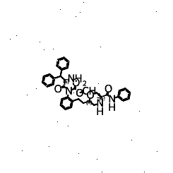 COC(=O)N(C(=O)[C@@H](N)C(c1ccccc1)c1ccccc1)c1ccccc1CC[C@@H]1CN[C@H](C(=O)Nc2ccccc2)CO1